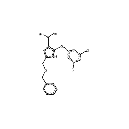 CC(=O)C(c1nc(COCc2ccccc2)[nH]c1Sc1cc(Cl)cc(Cl)c1)C(C)C